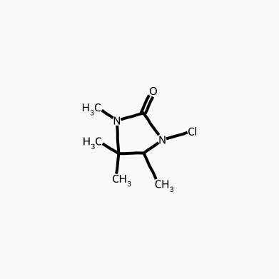 CC1N(Cl)C(=O)N(C)C1(C)C